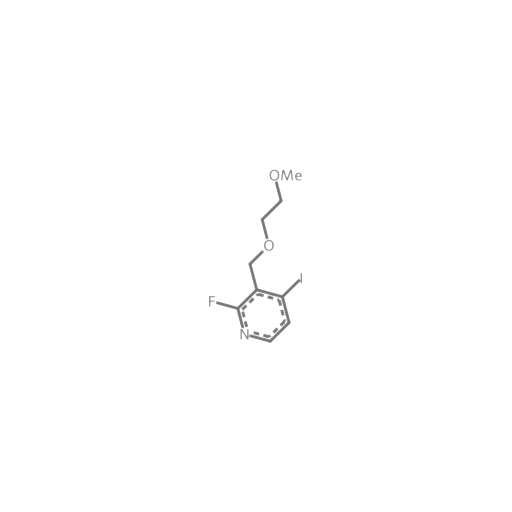 COCCOCc1c(I)ccnc1F